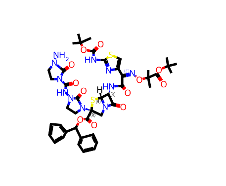 CC(C)(C)OC(=O)Nc1nc(/C(=N/OC(C)(C)C(=O)OC(C)(C)C)C(=O)N[C@@H]2C(=O)N3C[C@@](C(=O)OC(c4ccccc4)c4ccccc4)(N4CCN(NC(=O)N5CCN(N)C5=O)C4=O)S[C@H]23)cs1